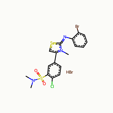 Br.CN(C)S(=O)(=O)c1cc(-c2csc(=Nc3ccccc3Br)n2C)ccc1Cl